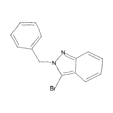 Brc1c2ccccc2nn1Cc1ccccc1